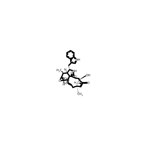 C/C1=C\[C@@H](C)C/C=C/[C@H]2[C@@H]3O[C@]3(C)[C@@H](C)[C@H]3[C@H](Cc4c[nH]c5ccccc45)NC(=O)[C@]32C(=O)CC[C@H](O)C1=O